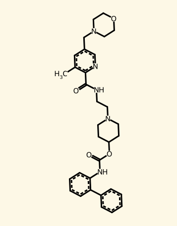 Cc1cc(CN2CCOCC2)cnc1C(=O)NCCN1CCC(OC(=O)Nc2ccccc2-c2ccccc2)CC1